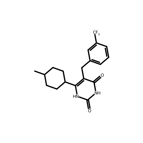 CC1CCC(c2[nH]c(=O)[nH]c(=O)c2Cc2cccc(C(F)(F)F)c2)CC1